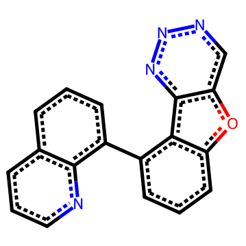 c1cnc2c(-c3cccc4oc5cnnnc5c34)cccc2c1